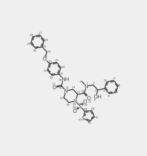 CN(CC(O)c1ccccc1)C(=O)C1CN(C(=O)Nc2ccc(OCc3ccccc3)cc2)CCN1S(=O)(=O)c1cccs1